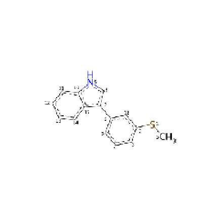 CSc1cccc(-c2c[nH]c3ccccc23)c1